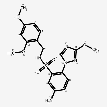 COc1ccc(CNS(=O)(=O)c2cc(N)ccc2-n2cnc(OC)n2)c(OC)c1